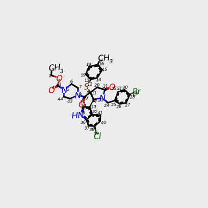 CCOC(=O)N1CCN(C(=O)[C@]2(Sc3ccc(C)cc3)CC(=O)N(Cc3ccc(Br)cc3)[C@H]2c2c[nH]c3cc(Cl)ccc23)CC1